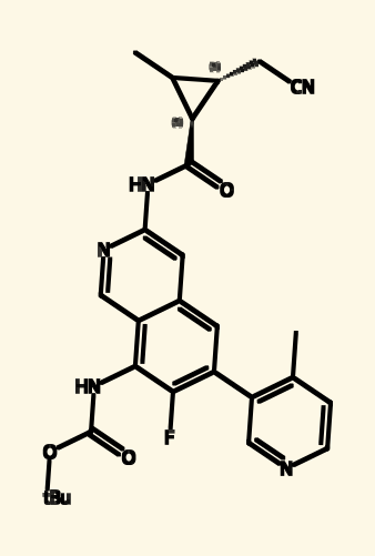 Cc1ccncc1-c1cc2cc(NC(=O)[C@H]3C(C)[C@@H]3CC#N)ncc2c(NC(=O)OC(C)(C)C)c1F